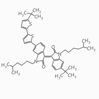 CC(C)CCCCN1C(=O)/C(=C2/C(=O)N(CCCCC(C)C)c3cc(C(C)(C)C)ccc32)c2ccc(-c3ccc(-c4ccc(C(C)(C)C)s4)s3)cc21